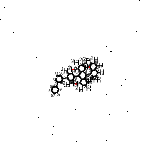 [2H]c1c([2H])c(-c2c3c([2H])c([2H])c([2H])c([2H])c3c(-c3c([2H])c([2H])c([2H])c4c([2H])c([2H])c([2H])c([2H])c34)c3c([2H])c([2H])c([2H])c([2H])c23)c([2H])c([2H])c1-c1cccc(-c2ccccc2)c1